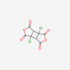 O=C1OC(=O)C2(Cl)C1C1(Cl)C(=O)OC(=O)C21